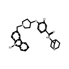 CCn1c2ccccc2c2cc(CN3CCC(Oc4ccc(C(=O)NC5CN6CCC5CC6)cc4Cl)CC3)ccc21